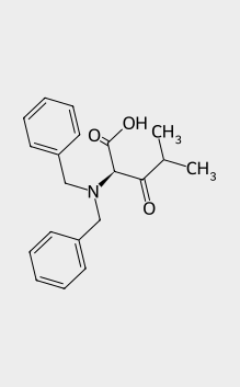 CC(C)C(=O)[C@H](C(=O)O)N(Cc1ccccc1)Cc1ccccc1